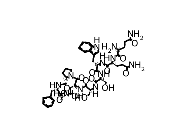 NC(=O)CC[C@H](NC(=O)[C@@H](N)CCC(N)=O)C(=O)N[C@@H](Cc1c[nH]c2ccccc12)C(=O)N[C@@H](CO)C(=O)N[C@@H](CO)C(=O)N[C@@H](CC(N)=O)C(=O)N1CCC[C@H]1C(=O)N[C@@H](Cc1ccccc1)C(=O)O